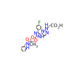 CC1(C(=O)NCc2ccccc2)COC(c2nc(-c3ccc(F)cc3)c(-c3ccnc(NCCC(=O)O)n3)[nH]2)OC1